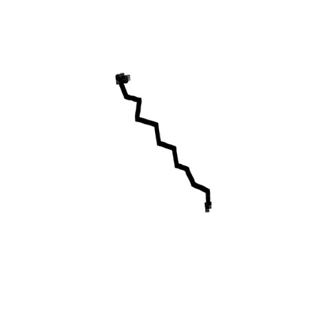 FCCCCCCCCC[CH2][Sb]